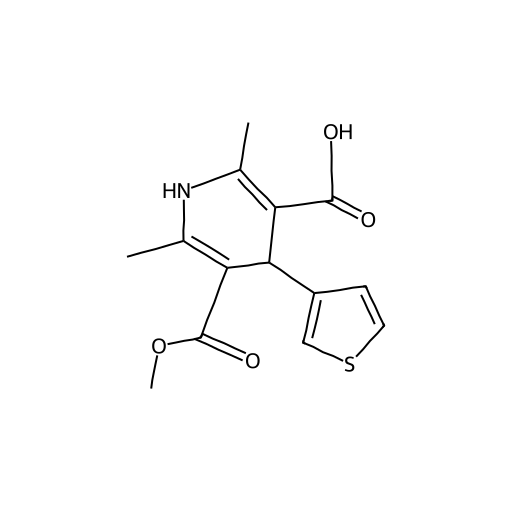 COC(=O)C1=C(C)NC(C)=C(C(=O)O)C1c1ccsc1